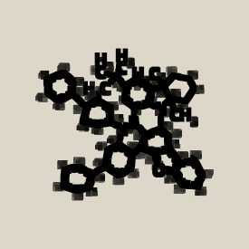 CC(C)(C)c1cc2c3c(c1)C1(C)CCCCC1(C)N3c1cc3c(oc4ccccc43)c3c1B2N(c1ccc(-c2ccccc2)cc1)c1cc(-c2ccccc2)ccc1-3